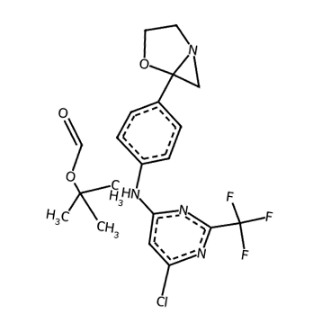 CC(C)(C)OC=O.FC(F)(F)c1nc(Cl)cc(Nc2ccc(C34CN3CCO4)cc2)n1